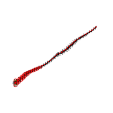 CCCCCCCCCCCCCCCCCCCCCCCCCCCCCCCCCCCCCCCCCCCCCCCCCCCCCCCCCCOOOOOOOOOOOOOOOOOOOOOOOOS(C)(=O)=O